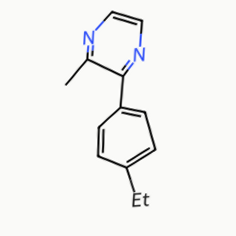 CCc1ccc(-c2nccnc2C)cc1